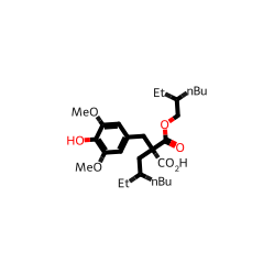 CCCCC(CC)COC(=O)C(Cc1cc(OC)c(O)c(OC)c1)(CC(CC)CCCC)C(=O)O